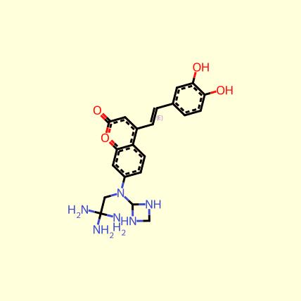 NC(N)(N)CN(c1ccc2c(/C=C/c3ccc(O)c(O)c3)cc(=O)oc2c1)C1NCN1